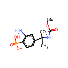 CC(C)(C)OC(=O)NC(C)(C(=O)O)c1ccc(P(=O)(O)O)c(N)c1